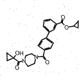 O=C(OC1CC1)c1cccc(-c2ccc(C(=O)N3CCN(C(=O)C4(O)CC4)CC3)cc2)c1